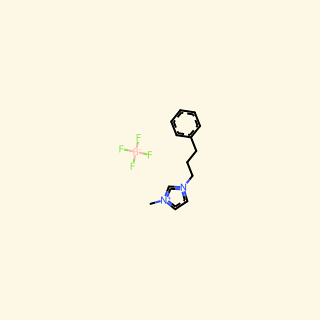 C[n+]1ccn(CCCc2ccccc2)c1.F[B-](F)(F)F